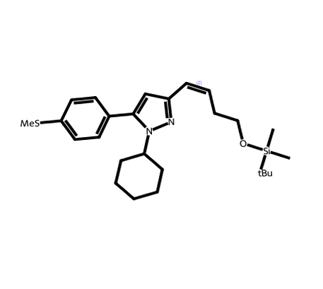 CSc1ccc(-c2cc(/C=C\CCO[Si](C)(C)C(C)(C)C)nn2C2CCCCC2)cc1